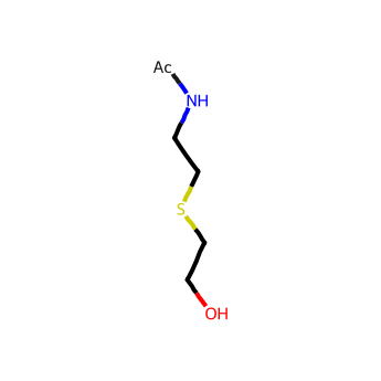 CC(=O)NCCSCCO